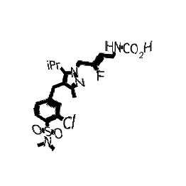 Cc1nn(CC(F)=CCNC(=O)O)c(C(C)C)c1Cc1ccc(S(=O)(=O)N(C)C)c(Cl)c1